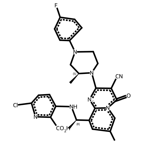 Cc1cc([C@@H](C)Nc2ccc(Cl)nc2C(=O)O)c2nc(N3CCN(c4ccc(F)cc4)C[C@@H]3C)c(C#N)c(=O)n2c1